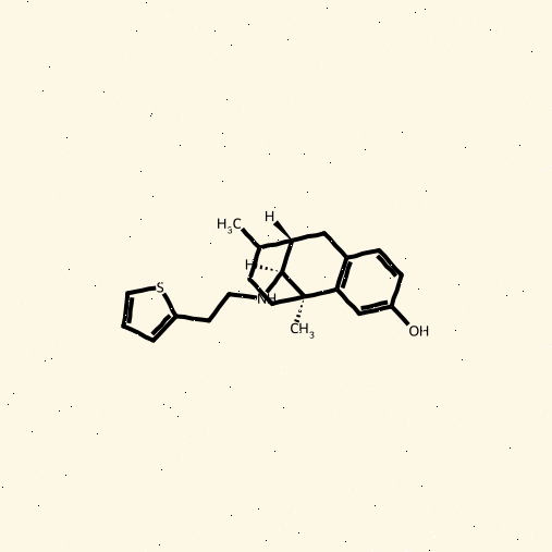 CC1CC[C@]2(C)c3cc(O)ccc3C[C@@H]1[C@@H]2NCCc1cccs1